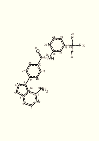 Nc1nccc2cnc(-c3ccc(C(=O)Nc4cc(C(F)(F)F)ccn4)cc3)n12